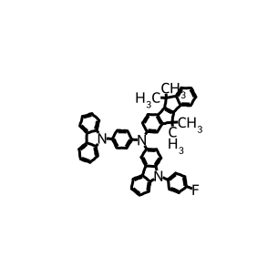 CC1(C)C2=C(c3ccccc31)C(C)(C)c1cc(N(c3ccc(-n4c5ccccc5c5ccccc54)cc3)c3ccc4c(c3)c3ccccc3n4-c3ccc(F)cc3)ccc12